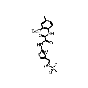 Cc1ccc(NC(=O)C(=O)Nc2nc(CNS(C)(=O)=O)cs2)c(OCC(C)C)c1